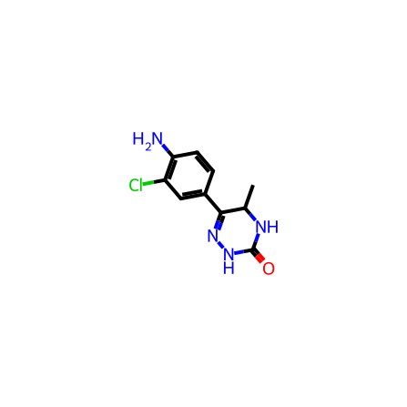 CC1NC(=O)NN=C1c1ccc(N)c(Cl)c1